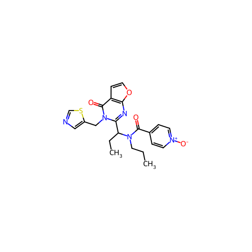 CCCN(C(=O)c1cc[n+]([O-])cc1)C(CC)c1nc2occc2c(=O)n1Cc1cncs1